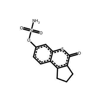 NS(=O)(=O)Oc1ccc2c3c(c(=O)sc2c1)CCC3